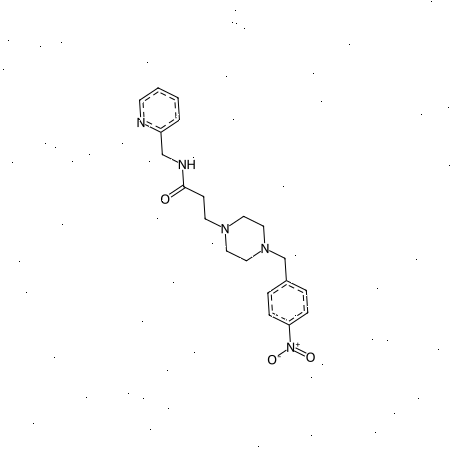 O=C(CCN1CCN(Cc2ccc([N+](=O)[O-])cc2)CC1)NCc1ccccn1